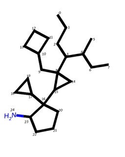 CCCC(C(C)CC)C1(CC2CCC2)CC1C1(C2CC2)CCCC1N